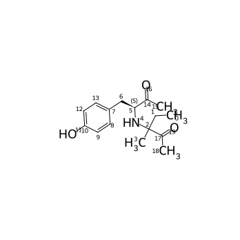 CCC(C)(N[C@@H](Cc1ccc(O)cc1)C(C)=O)C(C)=O